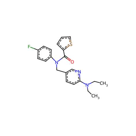 CCN(CC)c1ccc(CN(C(=O)c2cccs2)c2ccc(F)cc2)cn1